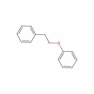 [C](Cc1ccccc1)Oc1ccccc1